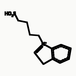 O=S(=O)(O)CCCC[N+]1=CCc2ccccc21